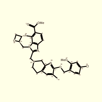 COC(=O)c1ccc2nc(CN3CCc4cc(I)c(OCc5ccc(Cl)cc5OC)nc4C3)n(C[C@@H]3CCO3)c2c1F